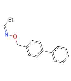 CC/[C]=N\OCc1ccc(-c2ccccc2)cc1